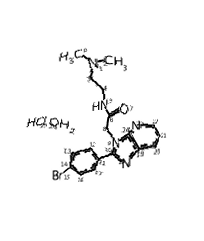 CN(C)CCNC(=O)Cn1c(-c2ccc(Br)cc2)nc2cccnc21.Cl.O